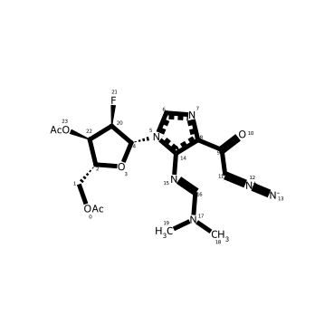 CC(=O)OC[C@H]1O[C@@H](n2cnc(C(=O)C=[N+]=[N-])c2/N=C/N(C)C)[C@H](F)[C@@H]1OC(C)=O